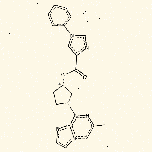 Cc1cn2ccnc2c(N2CC[C@H](NC(=O)c3cn(-c4ccccc4)cn3)C2)n1